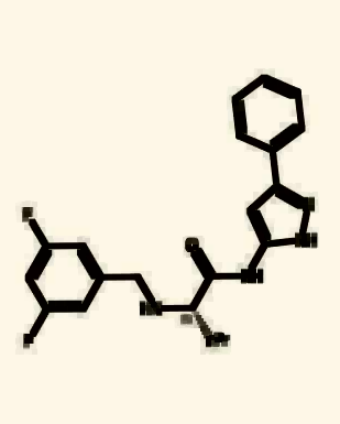 CCC[C@H](NCc1cc(F)cc(F)c1)C(=O)Nc1cc(-c2ccccc2)n[nH]1